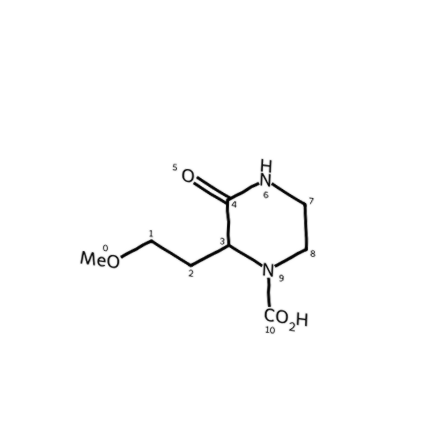 COCCC1C(=O)NCCN1C(=O)O